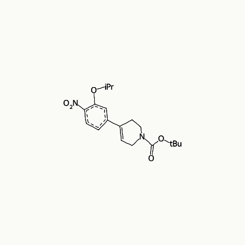 CC(C)Oc1cc(C2=CCN(C(=O)OC(C)(C)C)CC2)ccc1[N+](=O)[O-]